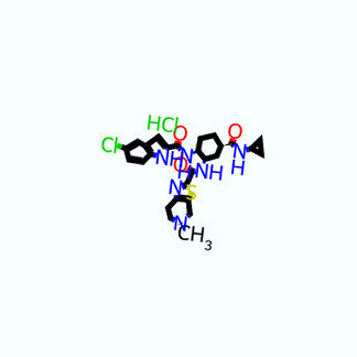 CN1CCc2nc(C(=O)N[C@@H]3C[C@@H](C(=O)NC4CC4)CC[C@@H]3NC(=O)c3cc4cc(Cl)ccc4[nH]3)sc2C1.Cl